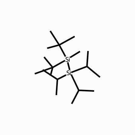 CC(C)[Si](C(C)C)(C(C)C)[Si](C)(C(C)(C)C)C(C)(C)C